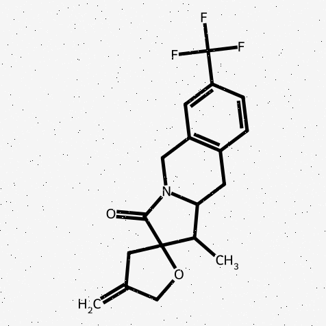 C=C1COC2(C1)C(=O)N1Cc3cc(C(F)(F)F)ccc3CC1C2C